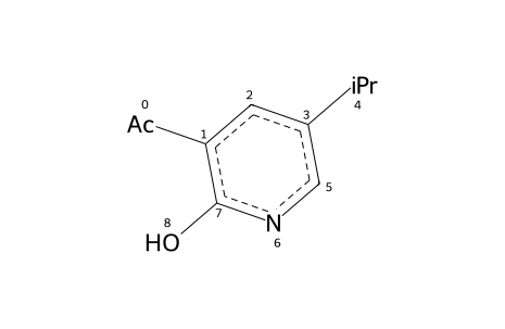 CC(=O)c1cc(C(C)C)cnc1O